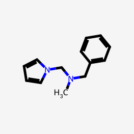 CN(Cc1ccccc1)Cn1cccc1